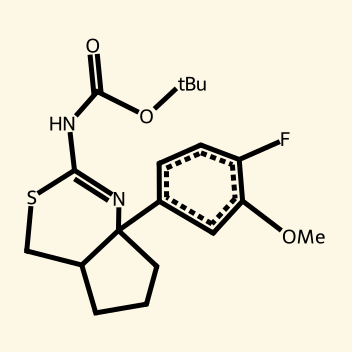 COc1cc(C23CCCC2CSC(NC(=O)OC(C)(C)C)=N3)ccc1F